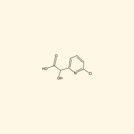 O=C(O)C(O)c1cccc(Cl)n1